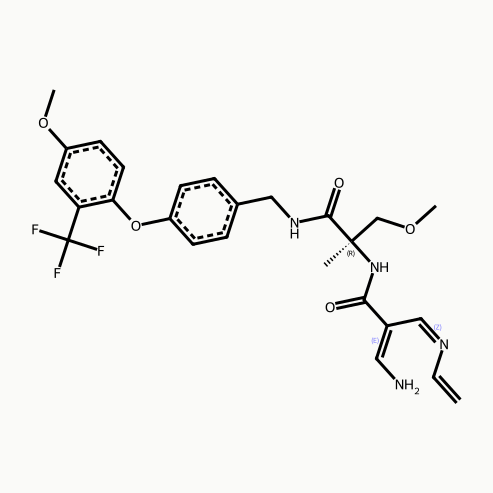 C=C/N=C\C(=C/N)C(=O)N[C@](C)(COC)C(=O)NCc1ccc(Oc2ccc(OC)cc2C(F)(F)F)cc1